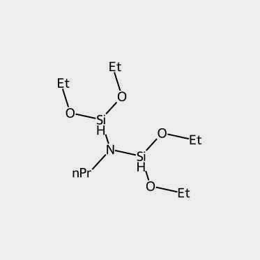 CCCN([SiH](OCC)OCC)[SiH](OCC)OCC